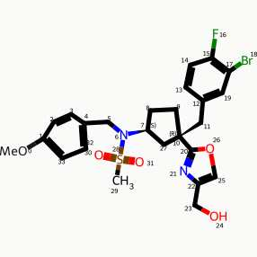 COc1ccc(CN([C@H]2CC[C@](Cc3ccc(F)c(Br)c3)(c3nc(CO)co3)C2)S(C)(=O)=O)cc1